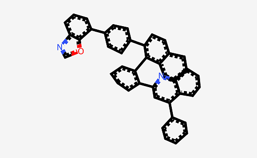 c1ccc(-c2cc(-c3ccccc3-c3c(-c4ccc(-c5cccc6ncoc56)cc4)ccc4ccccc34)nc3ccccc23)cc1